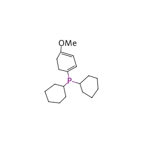 COC1=CC=C(P(C2CCCCC2)C2CCCCC2)CC1